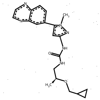 C[C@@H](CNC(=O)Nc1cc(-c2ccc3nccnc3c2)n(C)n1)OCC1CC1